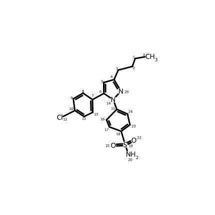 CCCCc1cc(-c2ccc(Cl)cc2)n(-c2ccc(S(N)(=O)=O)cc2)n1